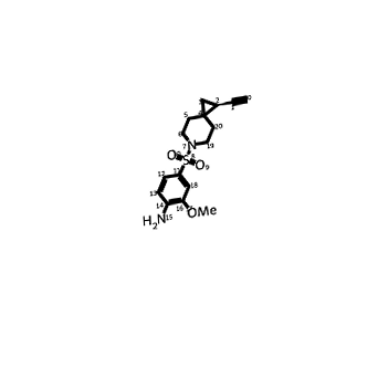 C#C[C@@H]1CC12CCN(S(=O)(=O)c1ccc(N)c(OC)c1)CC2